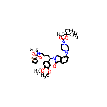 COc1ccc([C@@H](CCCN(C)S(=O)(=O)c2cccs2)N2Cc3c(cccc3N3CCN(C(=O)OC(C)(C)C)CC3)C2=O)cc1OC